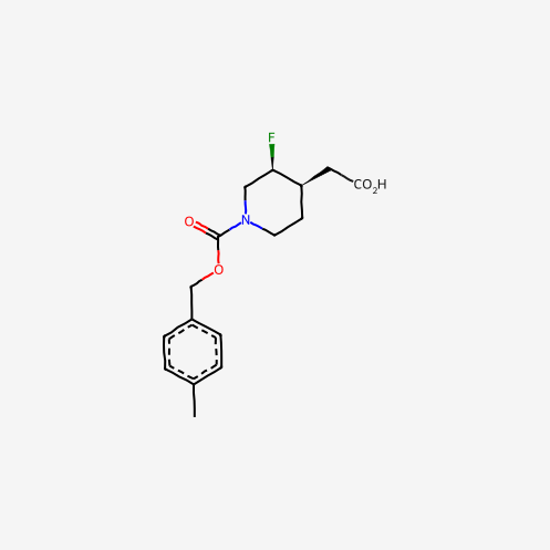 Cc1ccc(COC(=O)N2CC[C@H](CC(=O)O)[C@H](F)C2)cc1